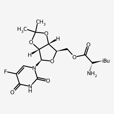 CC[C@H](C)[C@H](N)C(=O)OC[C@H]1O[C@@H](n2cc(F)c(=O)[nH]c2=O)[C@@H]2OC(C)(C)O[C@@H]21